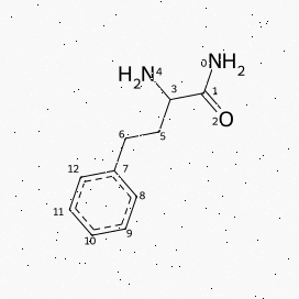 NC(=O)C(N)CCc1ccccc1